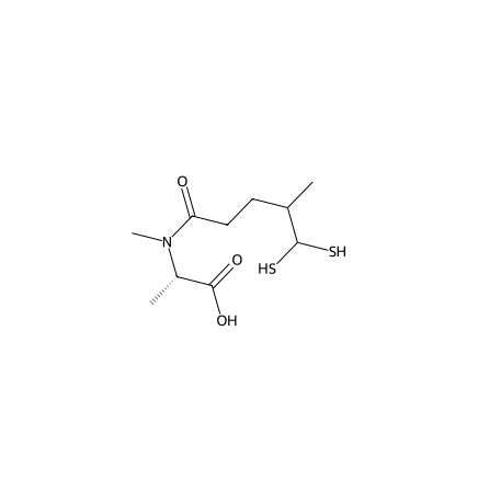 CC(CCC(=O)N(C)[C@@H](C)C(=O)O)C(S)S